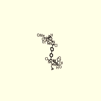 CC[C@H](NC(=O)OC)C(=O)N1[C@@H]2C[C@@H]2C[C@H]1c1nc(Cl)c(-c2ccc(-c3ccc(-c4[nH]c([C@H](CC5CC5)NC(=O)[C@@H](NC(=O)OI)C5CCOCC5)nc4Cl)cc3)cc2)[nH]1